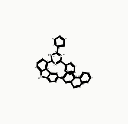 c1ccc(C2=NC(c3cccc4oc5ccc(-c6ccc7c(ccc8ccccc87)c6)cc5c34)NC(c3ccccc3)=N2)cc1